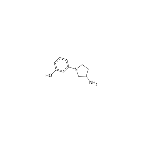 NC1CCN(c2cccc(O)c2)C1